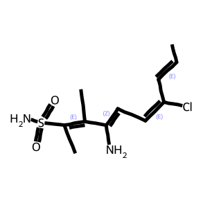 C/C=C/C(Cl)=C\C=C(N)\C(C)=C(/C)S(N)(=O)=O